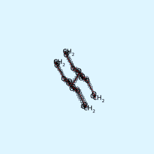 C=CC(=O)OCCCCCCCCCCCOc1ccc(C(=O)Oc2ccc(OC(=O)c3ccc(OCCCCCCCCCCCOC(=O)C=C)cc3)c(CCCCCCCCc3cc(OC(=O)c4ccc(OCCCCCCCCCCCOC(=O)C=C)cc4)ccc3OC(=O)c3ccc(OCCCCCCCCCCCOC(=O)C=C)cc3)c2)cc1